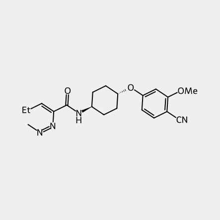 CC/C=C(\N=N/C)C(=O)N[C@H]1CC[C@H](Oc2ccc(C#N)c(OC)c2)CC1